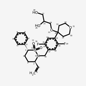 C=C[C@H]1CC[C@H](c2ccccc2)S(=O)(=O)N1Cc1cc(F)c(C2(OCC(O)CO)CCOCC2)cc1F